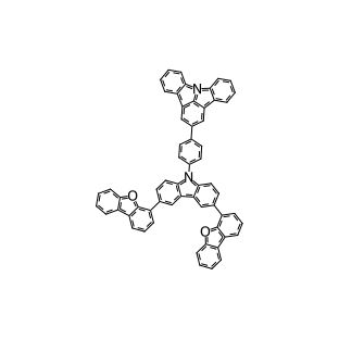 c1ccc2c(c1)oc1c(-c3ccc4c(c3)c3cc(-c5cccc6c5oc5ccccc56)ccc3n4-c3ccc(-c4cc5c6ccccc6n6c7ccccc7c(c4)c56)cc3)cccc12